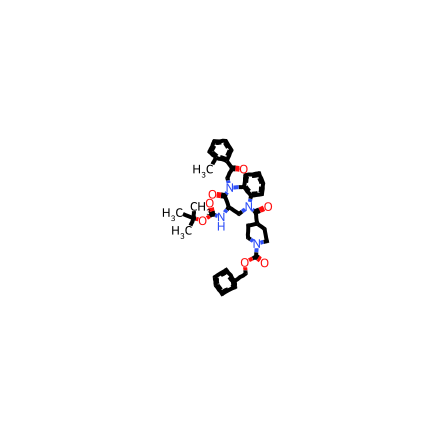 Cc1ccccc1C(=O)CN1C(=O)C(NC(=O)OC(C)(C)C)CN(C(=O)C2CCN(C(=O)OCc3ccccc3)CC2)c2ccccc21